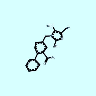 CCCc1nc(C(C)C)c(C(=O)O)n1Cc1ccc(-c2ccccc2)c(C(=O)C(C)=O)c1